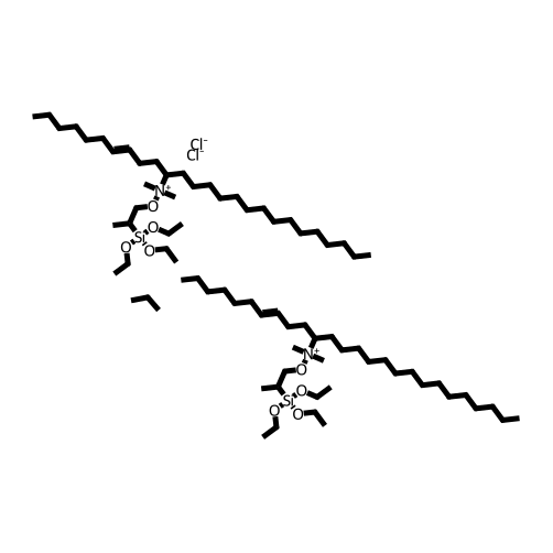 CCC.CCCCCCC=CCCC(CCCCCCCCCCCCCCC)[N+](C)(C)OCC(C)[Si](OCC)(OCC)OCC.CCCCCCC=CCCC(CCCCCCCCCCCCCCC)[N+](C)(C)OCC(C)[Si](OCC)(OCC)OCC.[Cl-].[Cl-]